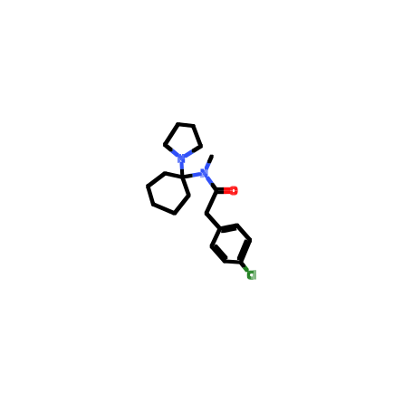 CN(C(=O)Cc1ccc(Cl)cc1)C1(N2CCCC2)CCCCC1